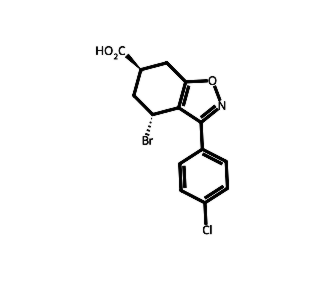 O=C(O)[C@H]1Cc2onc(-c3ccc(Cl)cc3)c2[C@H](Br)C1